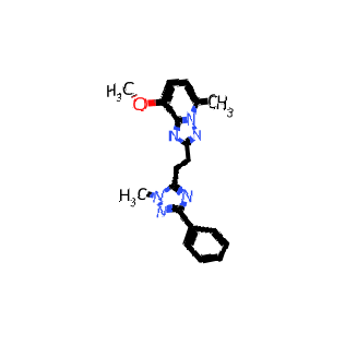 COc1ccc(C)n2nc(CCc3nc(-c4ccccc4)nn3C)nc12